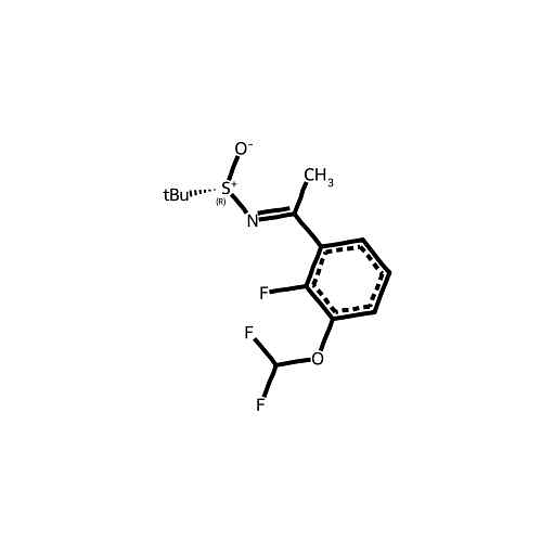 CC(=N[S@@+]([O-])C(C)(C)C)c1cccc(OC(F)F)c1F